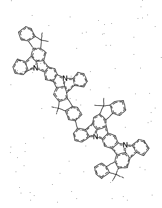 CC1(C)c2ccccc2-c2c1cc1c3cc4c(cc3n3c5ccccc5c2c13)c1cc2c(c3c5ccccc5n4c13)-c1ccc(-c3cccc4c3c3cc5c(c6c7cc8c(cc7n4c36)c3c4c(cc6c7ccccc7n8c63)C(C)(C)c3ccccc3-4)-c3ccccc3C5(C)C)cc1C2(C)C